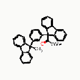 COC(=O)C1(c2cccc(C3(C)c4ccccc4-c4ccccc43)c2)c2ccccc2-c2ccccc21